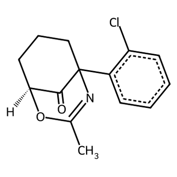 CC1=NC2(c3ccccc3Cl)CCC[C@H](O1)C2=O